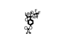 CC(=O)C1(c2ccc(OC(=O)N(C)C)cc2)NOC(C(F)(F)F)N1